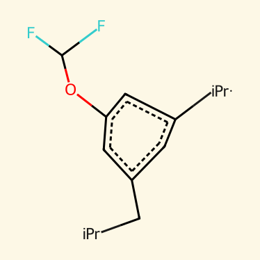 C[C](C)c1cc(CC(C)C)cc(OC(F)F)c1